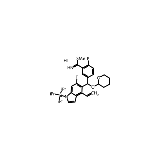 C=Cc1c(C(OC2CCCCO2)c2ccc(F)c(C(=N)SC)c2)c(F)cc2c1ccn2[Si](C(C)C)(C(C)C)C(C)C.I